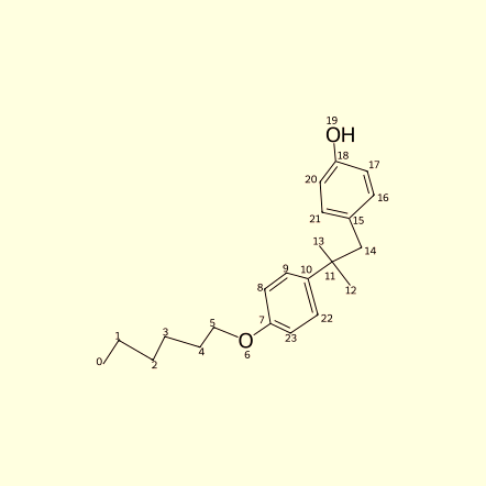 CCCCCCOc1ccc(C(C)(C)Cc2ccc(O)cc2)cc1